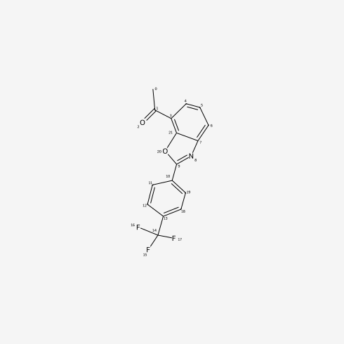 CC(=O)c1cccc2nc(-c3ccc(C(F)(F)F)cc3)oc12